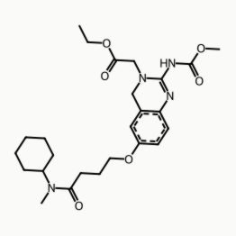 CCOC(=O)CN1Cc2cc(OCCCC(=O)N(C)C3CCCCC3)ccc2N=C1NC(=O)OC